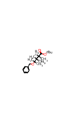 CC(C)(C)OC(=O)C(C)(C)C(C)(C)C(C)(C)OCc1ccccc1